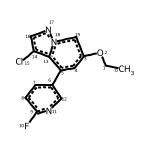 CCOc1cc(-c2ccc(F)nc2)c2c(Cl)cnn2c1